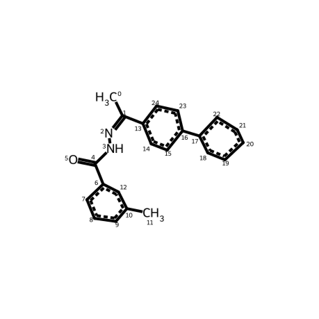 CC(=NNC(=O)c1cccc(C)c1)c1ccc(-c2ccccc2)cc1